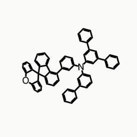 c1ccc(-c2cccc(N(c3cc(-c4ccccc4)cc(-c4ccccc4)c3)c3cccc(-c4cccc5c4-c4ccccc4C54c5ccccc5Oc5ccccc54)c3)c2)cc1